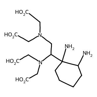 NC1CCCCC1(N)C(CN(CC(=O)O)CC(=O)O)N(CC(=O)O)CC(=O)O